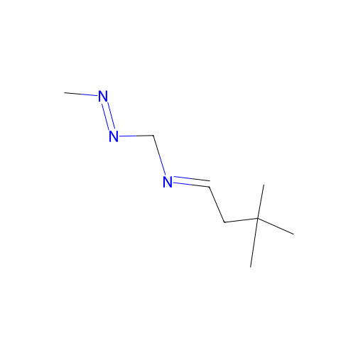 CN=NCN=CCC(C)(C)C